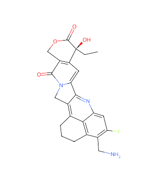 CC[C@@]1(O)C(=O)OCc2c1cc1n(c2=O)Cc2c-1nc1cc(F)c(CN)c3c1c2CCC3